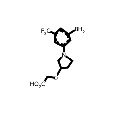 Bc1cc(N2CCC(OCC(=O)O)C2)cc(C(F)(F)F)c1